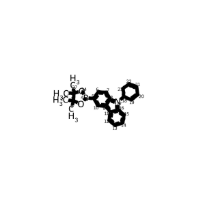 CC1(C)OB(c2ccc3c(c2)c2ccccc2n3C2C=CC=CC2)OC1(C)C